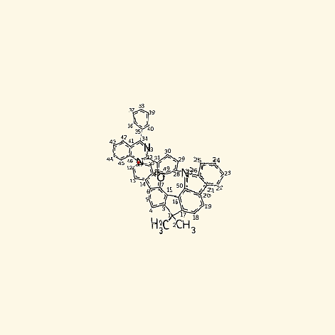 CC1(C)c2ccc3c(oc4ccccc43)c2-c2c1ccc1c3ccccc3n(-c3ccc(-c4nc(-c5ccccc5)c5ccccc5n4)cc3)c21